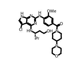 COc1cc(C(=O)N2CCC(N3CCOCC3)CC2)ccc1Nc1nc(N[C@@H](CCO)C(C)C)c2c(Cl)c[nH]c2n1